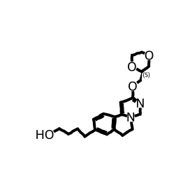 OCCCCc1ccc2c(c1)CCN1CN=C(OC[C@@H]3COCCO3)C=C21